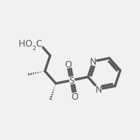 C[C@H](CC(=O)O)[C@@H](C)S(=O)(=O)c1ncccn1